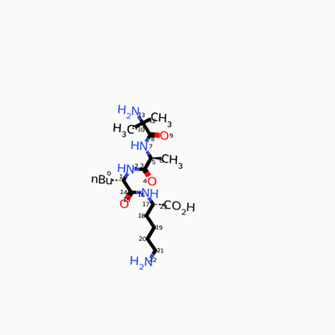 CCCC[C@H](NC(=O)[C@H](C)NC(=O)C(C)(C)N)C(=O)N[C@@H](CCCCN)C(=O)O